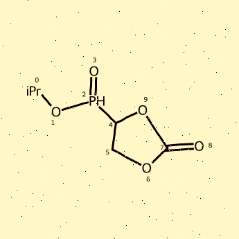 CC(C)O[PH](=O)C1COC(=O)O1